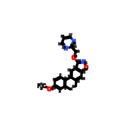 Cc1cc(OC(F)(F)F)ccc1-c1cc2c(OCc3ncccn3)noc2cc1C